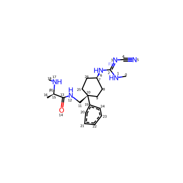 CN/C(=N\C#N)N[C@H]1CC[C@](CNC(=O)[C@@H](C)NC)(c2ccccc2)CC1